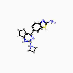 Nc1nc2ccc(-c3nc(N4CCC4)nc4c3CCC4)cc2s1